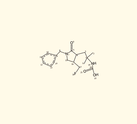 CC(C)(CC1C(=O)N(Cc2ccccc2)CC1CF)NC(=O)O